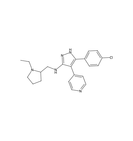 CCN1CCCC1CNc1n[nH]c(-c2ccc(Cl)cc2)c1-c1ccncc1